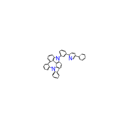 c1ccc(-c2ccc(-c3cccc(-n4c5cccc6c7ccccc7n7c8ccccc8c8ccc4c(c65)c87)c3)nc2)cc1